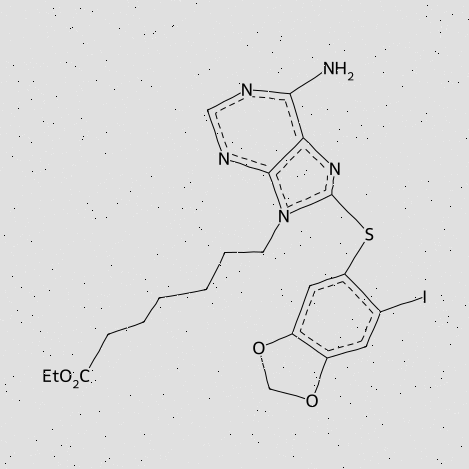 CCOC(=O)CCCCCCn1c(Sc2cc3c(cc2I)OCO3)nc2c(N)ncnc21